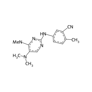 CNc1nc(Nc2ccc(C)c(C#N)c2)ncc1N(C)C